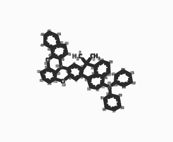 CC1(C)c2cc3c(cc2-c2ccc(N(c4ccccc4)c4ccccc4)c4cccc1c24)Oc1cccc2c1B3c1ccc3ccccc3c1O2